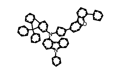 c1ccc(-c2cccc3c2oc2ccc(-c4ccc(N(c5ccc6c(c5)C(c5ccccc5)(c5ccccc5)c5ccccc5-6)c5cccc6c5c5ccccc5n6-c5ccccc5)cc4)cc23)cc1